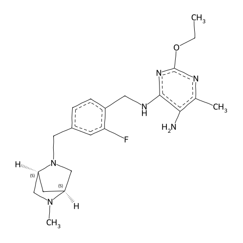 CCOc1nc(C)c(N)c(NCc2ccc(CN3C[C@@H]4C[C@H]3CN4C)cc2F)n1